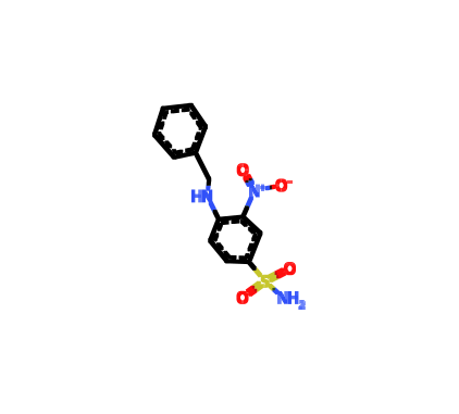 NS(=O)(=O)c1ccc(NCc2ccccc2)c([N+](=O)[O-])c1